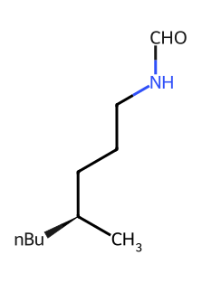 CCCC[C@H](C)CCCNC=O